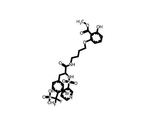 COC(=O)c1c(O)cccc1OCCCCNC(=O)C(Cc1ccc(C(F)(F)P(=O)(O)O)c(Br)c1)NS(=O)(=O)c1cccnc1